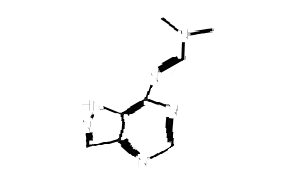 CN(C)/C=N/c1ncnc2cn[nH]c12